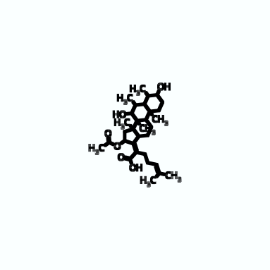 CC(=O)OC1CC2(C)C(CCC3C4(C)CCC(O)C(C)C4C(C)C(O)C32C)/C1=C(\CCC=C(C)C)C(=O)O